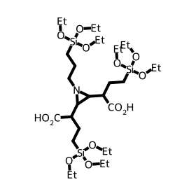 CCO[Si](CCCN1C(C(CC[Si](OCC)(OCC)OCC)C(=O)O)C1C(CC[Si](OCC)(OCC)OCC)C(=O)O)(OCC)OCC